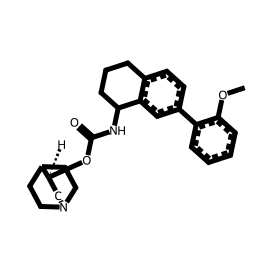 COc1ccccc1-c1ccc2c(c1)C(NC(=O)O[C@H]1CN3CCC1CC3)CCC2